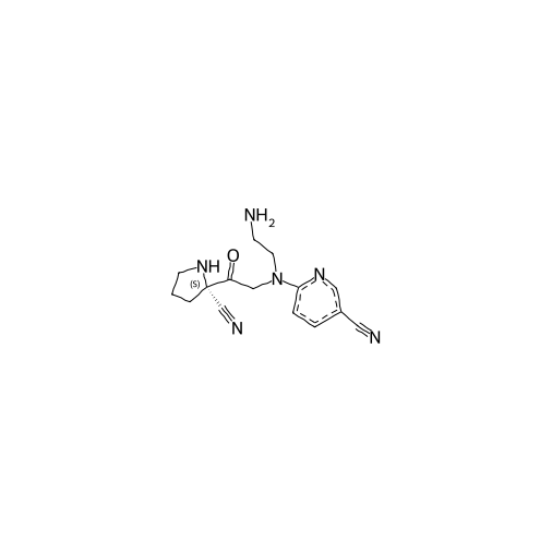 N#Cc1ccc(N(CCN)CC(=O)[C@@]2(C#N)CCCN2)nc1